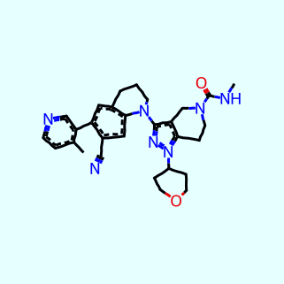 CNC(=O)N1CCc2c(c(N3CCCc4cc(-c5cnccc5C)c(C#N)cc43)nn2C2CCOCC2)C1